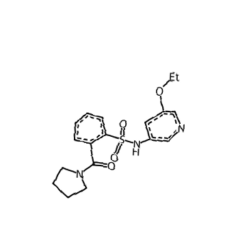 CCOc1cncc(NS(=O)(=O)c2ccccc2C(=O)N2CCCC2)c1